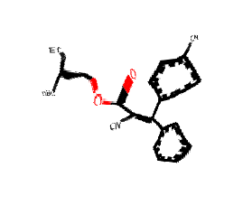 [C-]#[N+]/C(C(=O)OCC(CC)CCCC)=C(\c1ccccc1)c1ccc(C#N)cc1